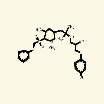 CC1CC(CC(C)(C)NCC(O)COc2ccc(O)cc2)C[C@H](C)C1P(=O)(O)COc1ccccc1